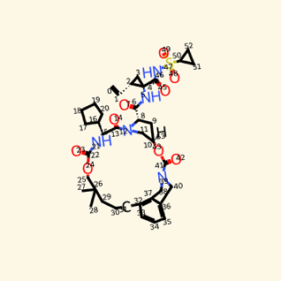 C=C[C@@H]1C[C@]1(NC(=O)[C@@H]1C[C@@H]2CN1C(=O)[C@H](C1CCCC1)NC(=O)OCC(C)(C)CCCc1cccc3c1CN(C3)C(=O)O2)C(=O)NS(=O)(=O)C1CC1